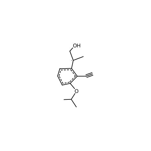 C#Cc1c(OC(C)C)cccc1[C](C)CO